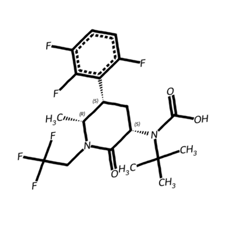 C[C@@H]1[C@H](c2c(F)ccc(F)c2F)C[C@H](N(C(=O)O)C(C)(C)C)C(=O)N1CC(F)(F)F